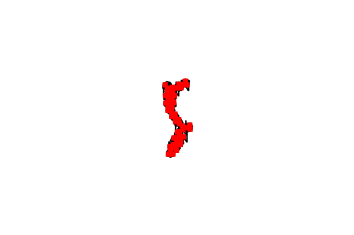 N#Cc1ccc(-c2ccc3c4c(ccc(-c5ccc(-c6ccc(-c7nc(-c8ccccc8)nc(-c8ccc(-c9ccc(-c%10ccc%11c(c%10)-c%10ccc(-c%12ccc(-c%13nc(-c%14ccccc%14)nc(-c%14ccc(-c%15ccccn%15)cc%14)n%13)cc%12)c%12c(-c%13ccc(C#N)cc%13)ccc-%11c%10%12)cc9)cc8)n7)cc6)cc5)c24)-c2ccccc2-3)cc1